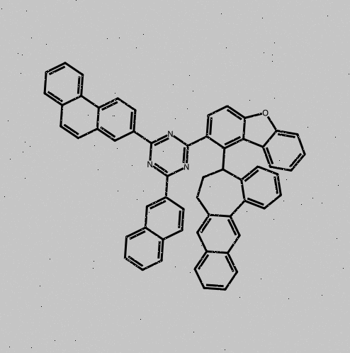 c1ccc2c(c1)-c1cc3ccccc3cc1CCC2c1c(-c2nc(-c3ccc4ccccc4c3)nc(-c3ccc4c(ccc5ccccc54)c3)n2)ccc2oc3ccccc3c12